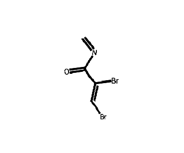 C=NC(=O)C(Br)=CBr